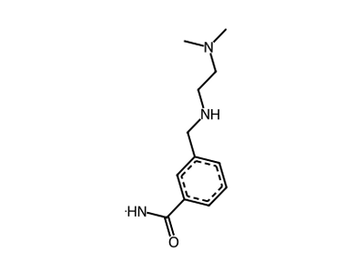 CN(C)CCNCc1cccc(C([NH])=O)c1